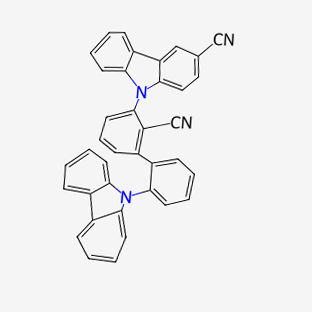 N#Cc1ccc2c(c1)c1ccccc1n2-c1cccc(-c2ccccc2-n2c3ccccc3c3ccccc32)c1C#N